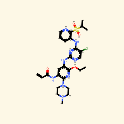 C=CC(=O)Nc1cc(Nc2ncc(Cl)c(Nc3cccnc3S(=O)(=O)C(C)C)n2)c(OCC)nc1N1CCN(C)CC1